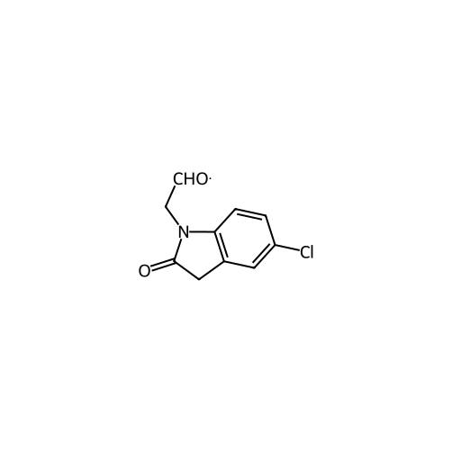 O=[C]CN1C(=O)Cc2cc(Cl)ccc21